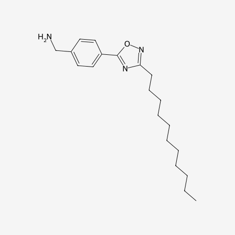 CCCCCCCCCCCc1noc(-c2ccc(CN)cc2)n1